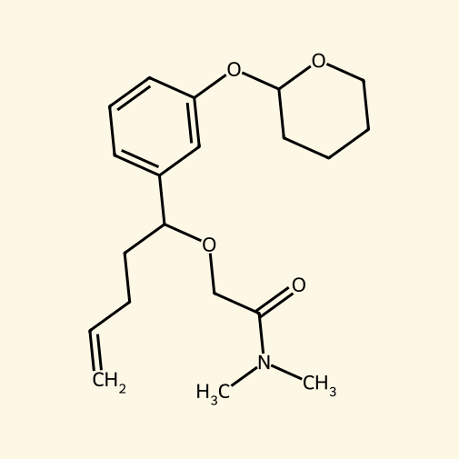 C=CCCC(OCC(=O)N(C)C)c1cccc(OC2CCCCO2)c1